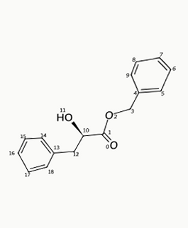 O=C(OCc1ccccc1)[C@H](O)Cc1ccccc1